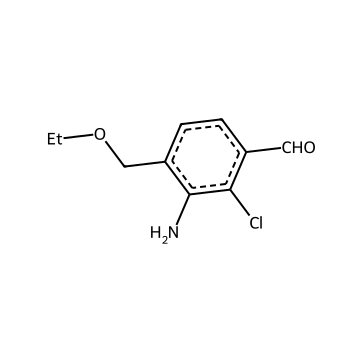 CCOCc1ccc(C=O)c(Cl)c1N